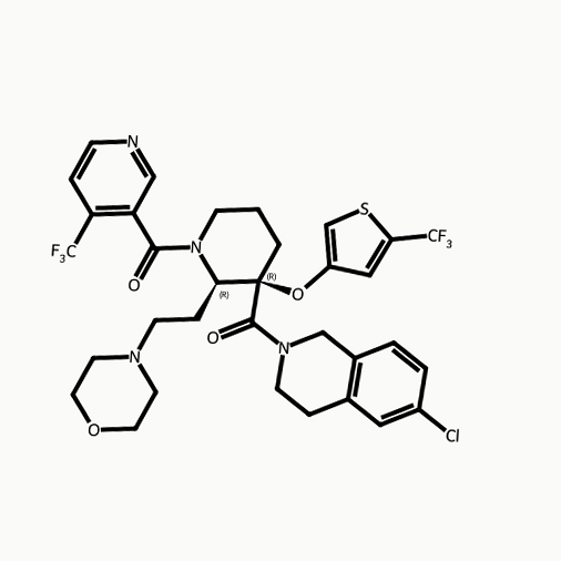 O=C(c1cnccc1C(F)(F)F)N1CCC[C@](Oc2csc(C(F)(F)F)c2)(C(=O)N2CCc3cc(Cl)ccc3C2)[C@H]1CCN1CCOCC1